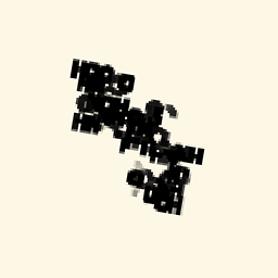 CC[C@H]1CC=C(C2OC3C[C@H]([C@@H]4CNC([C@@H]5CCCN5[C@@H](O)C(N[C@@H](O)OC)C5CCOCC5)N4)C=C(F)[C@@H]3[C@@H]3C[C@@H]4CC([C@H]5CNC([C@@H]6CCCN6CC(N[C@H](O)OC)C6C[C@@H](C)O[C@@H](C)C6)N5)=CC[C@@H]4N23)S1